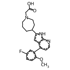 COc1ccc(F)cc1-c1ccnc2[nH]c(C3CCCN(CC(=O)O)CC3)cc12